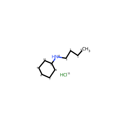 CCCCNC1CCCCC1.Cl